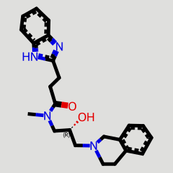 CN(C[C@H](O)CN1CCc2ccccc2C1)C(=O)CCc1nc2ccccc2[nH]1